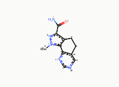 CC(C)(C)n1nc(C(N)=O)c2c1-c1ncncc1CC2